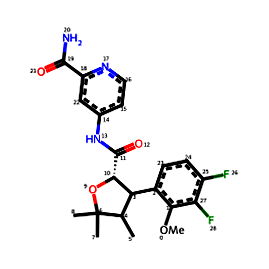 COc1c(C2C(C)C(C)(C)O[C@@H]2C(=O)Nc2ccnc(C(N)=O)c2)ccc(F)c1F